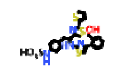 O=S(=O)(O)Nc1ccc(C[C@H](Nc2nc(-c3ccccc3CO)cs2)c2csc(-c3cccs3)n2)cc1